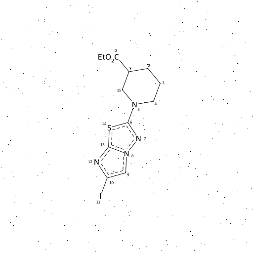 CCOC(=O)C1CCCN(c2nn3cc(I)nc3s2)C1